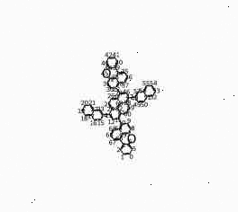 c1ccc2c(c1)Oc1ccc(-c3cc(-c4ccc5ccccc5c4)c4ccc5c(-c6ccc7c8c(cccc68)-c6ccccc6O7)cc(-c6ccc7ccccc7c6)c6ccc3c4c65)c3cccc-2c13